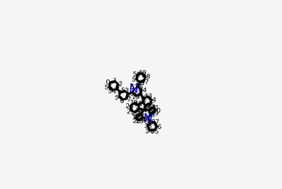 c1ccc(-c2cccc(-c3cc(-c4cccc5c4-c4ccccc4C54c5ccccc5N(c5ccccc5)c5ccccc54)cc(-c4ccccc4)n3)c2)cc1